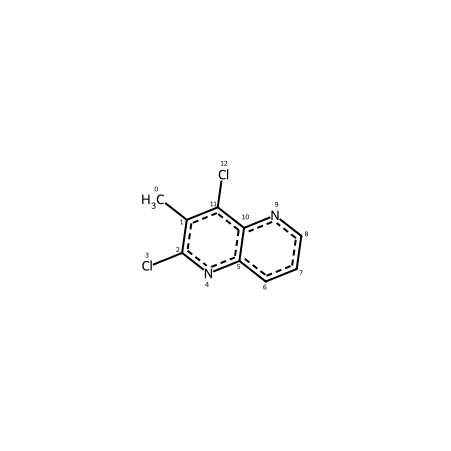 Cc1c(Cl)nc2cccnc2c1Cl